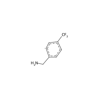 NCc1[c]cc(C(F)(F)F)cc1